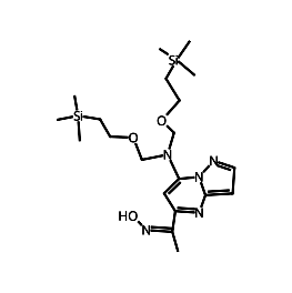 C/C(=N/O)c1cc(N(COCC[Si](C)(C)C)COCC[Si](C)(C)C)n2nccc2n1